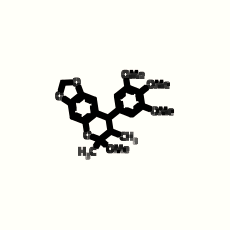 COc1cc(C2c3cc4c(cc3OC(C)(OC)C2C)OCO4)cc(OC)c1OC